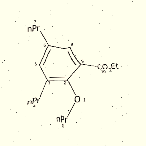 CCCOc1c(CCC)cc(CCC)cc1C(=O)OCC